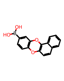 OB(O)c1ccc2c(c1)Oc1c(ccc3ccccc13)O2